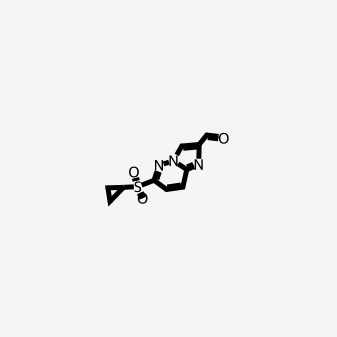 O=Cc1cn2nc(S(=O)(=O)C3CC3)ccc2n1